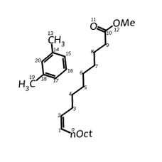 CCCCCCCC/C=C\CCCCCCCC(=O)OC.Cc1cccc(C)c1